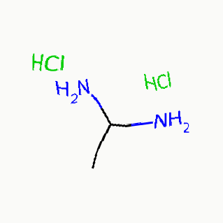 CC(N)N.Cl.Cl